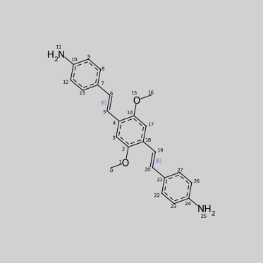 COc1cc(/C=C/c2ccc(N)cc2)c(OC)cc1/C=C/c1ccc(N)cc1